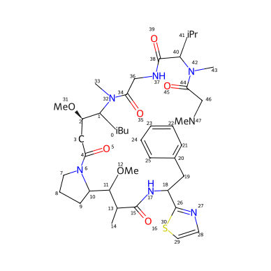 CCC(C)C([C@@H](CC(=O)N1CCCC1C(OC)C(C)C(=O)NC(Cc1ccccc1)c1nccs1)OC)N(C)C(=O)CNC(=O)C(C(C)C)N(C)C(=O)CNC